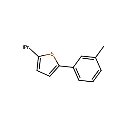 Cc1cccc(-c2ccc(C(C)C)s2)c1